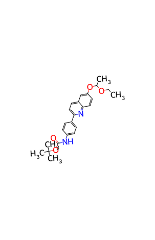 CCOC(C)Oc1ccc2nc(-c3ccc(NC(=O)OC(C)(C)C)cc3)ccc2c1